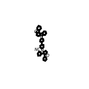 N#Cc1cc(-c2ccc(-n3c4ccccc4c4c5c(ccc43)oc3ccccc35)cc2)ccc1-n1c2ccccc2c2c3c(ccc21)oc1ccccc13